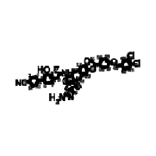 N#Cc1ccc(-c2ccc(CC(NC(=O)C3Cc4cc5c(cc4CN3S(=O)(=O)c3cnc(N)s3)OC(c3ccc(OCc4ccc(Cl)c(Cl)c4)cc3)CO5)C(=O)O)cc2)cc1